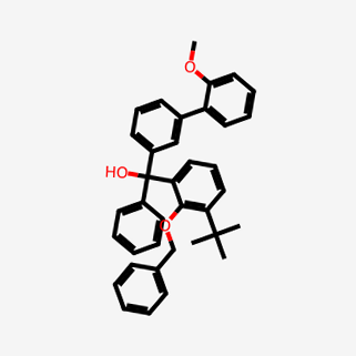 COc1ccccc1-c1cccc(C(O)(c2ccccc2)c2cccc(C(C)(C)C)c2OCc2ccccc2)c1